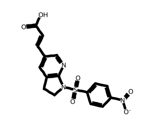 O=C(O)C=Cc1cnc2c(c1)CCN2S(=O)(=O)c1ccc([N+](=O)[O-])cc1